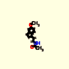 COc1ccc2c(c1)CCC2CCNC(C)=O